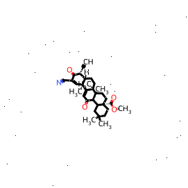 C#C[C@@H]1C(=O)C(C#N)=C[C@]2(C)C3=CC(=O)C4C5CC(C)(C)CC[C@]5(C(=O)OC)CC[C@@]4(C)[C@]3(C)CC[C@@H]12